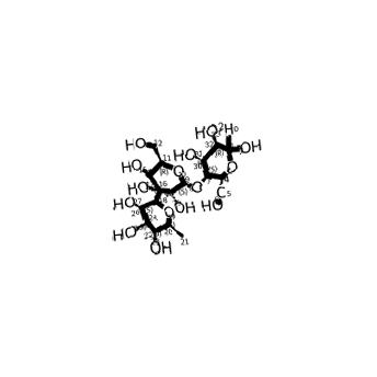 [2H]C1(O)O[C@H](CO)[C@@H](O[C@@H]2O[C@H](CO)[C@H](O)[C@@](O)(C3O[C@@H](C)[C@@H](O)[C@@H](O)[C@@H]3O)[C@H]2O)[C@H](O)[C@H]1O